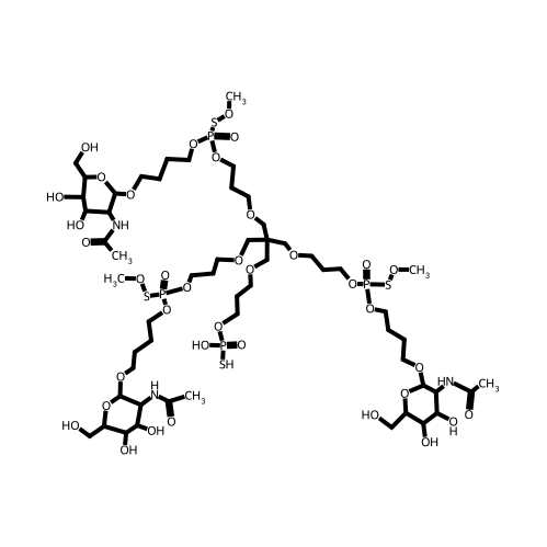 COSP(=O)(OCCCCOC1OC(CO)C(O)C(O)C1NC(C)=O)OCCCOCC(COCCCOP(=O)(O)S)(COCCCOP(=O)(OCCCCOC1OC(CO)C(O)C(O)C1NC(C)=O)SOC)COCCCOP(=O)(OCCCCOC1OC(CO)C(O)C(O)C1NC(C)=O)SOC